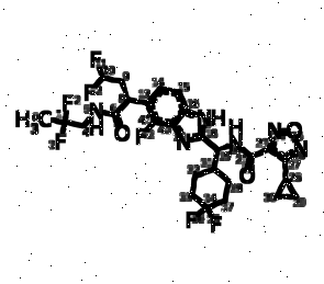 CC(F)(F)CNC(=O)[C@@H](CC(F)F)c1ccc2[nH]c([C@@H](NC(=O)c3nonc3C3CC3)C3CCC(F)(F)CC3)nc2c1F